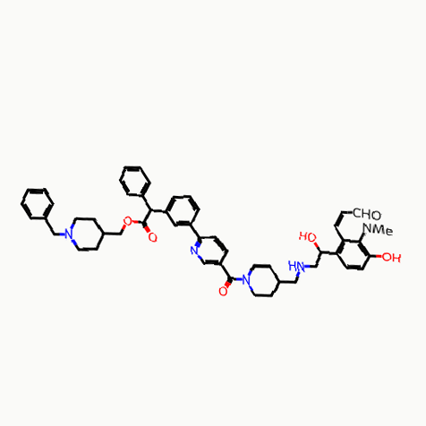 CNc1c(O)ccc(C(O)CNCC2CCN(C(=O)c3ccc(-c4cccc(C(C(=O)OCC5CCN(Cc6ccccc6)CC5)c5ccccc5)c4)nc3)CC2)c1/C=C\C=O